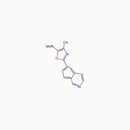 CNc1oc(-c2ccc3cnccc3c2)nc1C#N